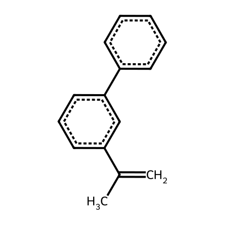 C=C(C)c1cccc(-c2ccccc2)c1